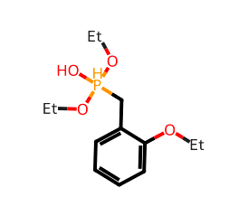 CCOc1ccccc1C[PH](O)(OCC)OCC